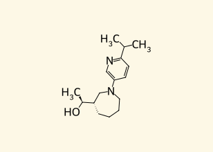 CC(C)c1ccc(N2CCCC[C@H]([C@H](C)O)C2)cn1